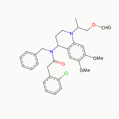 COc1cc2c(cc1OC)N(C(C)COC=O)CCC2N(Cc1ccccc1)C(=O)Cc1ccccc1Cl